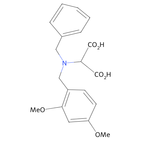 COc1ccc(CN(Cc2ccccc2)C(C(=O)O)C(=O)O)c(OC)c1